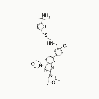 COc1ccc(-c2ccc3c(N4CCOCC4)nc(N4CC(C)OC(C)C4)nc3n2)cc1CNCCSCc1ccc(C(C)(C)N)o1